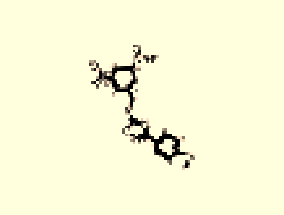 COc1ccc(-c2noc(SCc3cc([N+](=O)[O-])cc([N+](=O)[O-])c3)n2)cc1